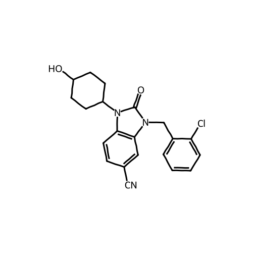 N#Cc1ccc2c(c1)n(Cc1ccccc1Cl)c(=O)n2C1CCC(O)CC1